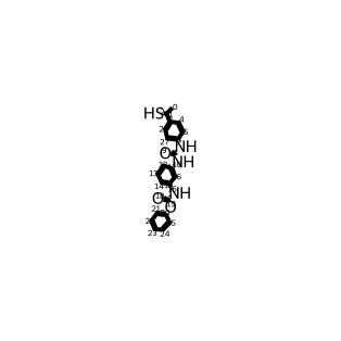 CC(S)c1ccc(NC(=O)Nc2cccc(NC(=O)Oc3ccccc3)c2)cc1